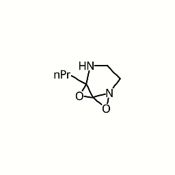 CCCC12NCCN3OC31O2